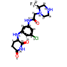 O=C1CCC(Nc2cc(Cl)cc(NC(=O)CN3CCNCC3C(F)(F)F)c2)C(=O)N1